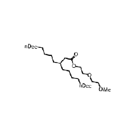 CCCCCCCCCCCCCCC(CCCCCCCCCCCCCC)CC(=O)OCCOCCOC